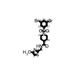 Cc1csc(CNC(=O)C2CCN(S(=O)(=O)c3cc(Br)cc(Br)c3)CC2)n1